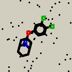 Clc1ccc(OC2CC3CCCC(C2)N3)cc1Cl